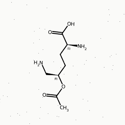 CC(=O)O[C@@H](CN)CC[C@H](N)C(=O)O